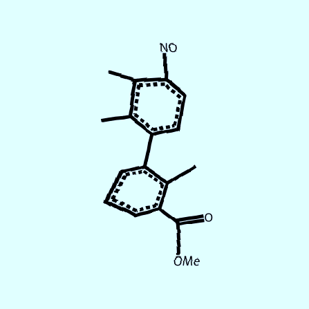 COC(=O)c1cccc(-c2ccc(N=O)c(C)c2C)c1C